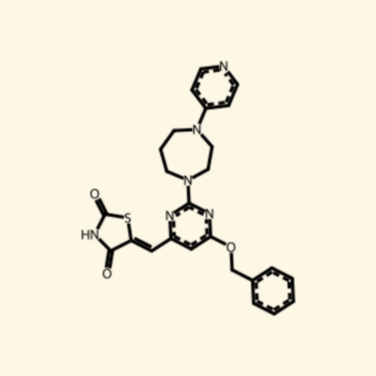 O=C1NC(=O)C(=Cc2cc(OCc3ccccc3)nc(N3CCCN(c4ccncc4)CC3)n2)S1